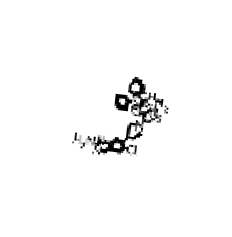 CC(C)(C)[Si](O[C@@H]1COC[C@@H]1N1CCC(c2cc3nc(N)ncc3cc2Cl)CC1)(c1ccccc1)c1ccccc1